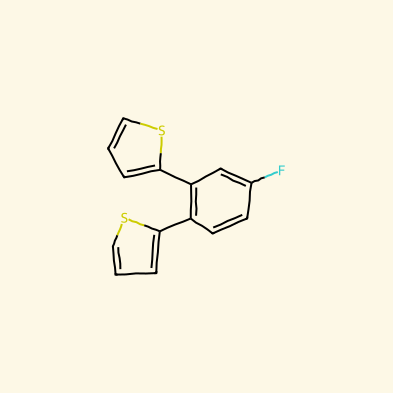 Fc1ccc(-c2cccs2)c(-c2cccs2)c1